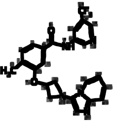 Cc1ccc(C(=O)Nc2cncc(C(F)(F)F)c2)cc1OC1CN(c2cnc3ccccn23)C1